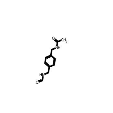 CC(=O)NCc1ccc(CNC=O)cc1